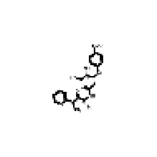 CCC(C)[C@H](NC(=O)C[C@H](Nc1ccc(OC)cc1)[C@@H](N)CC(C)C)C(=O)C(N)c1ccccn1